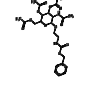 CC(=O)NC1C(OCCNC(=O)OCc2ccccc2)OC(COC(C)=O)C(OC(C)=O)C1OC(C)=O